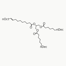 CCCCCCCC/C=C/CCCCCCCC(=O)OC(COC(=O)CCCCCCCCCCCCCCC)COC(=O)CCCCCCCCCCCCCCC